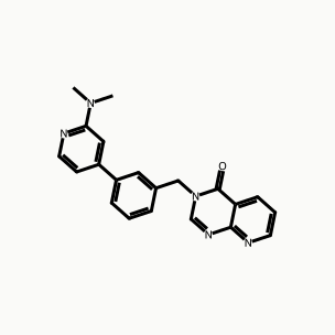 CN(C)c1cc(-c2cccc(Cn3cnc4ncccc4c3=O)c2)ccn1